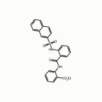 CCOC(=O)c1ccccc1NC(=O)c1ccccc1NS(=O)(=O)c1ccc2ccccc2c1